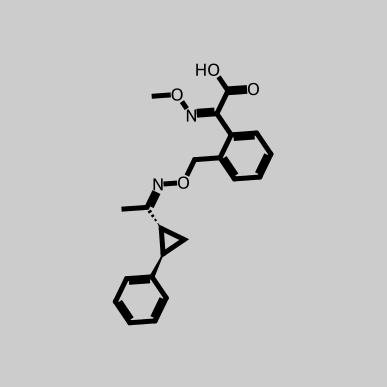 CON=C(C(=O)O)c1ccccc1CON=C(C)[C@@H]1C[C@H]1c1ccccc1